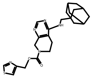 O=C(OCc1cscn1)N1CCc2c(ncnc2NCC23CC4CC(CC(C4)C2)C3)C1